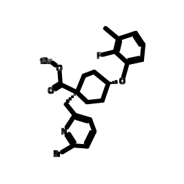 Cc1cccc(O[C@H]2CC[C@](Cc3cccc(Br)n3)(C(=O)OC(C)(C)C)CC2)c1F